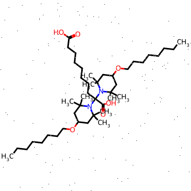 CCCCCCCCOC1CC(C)(C)N(C(CCCCCCCC(=O)O)(C(=O)O)N2C(C)(C)CC(OCCCCCCCC)CC2(C)C)C(C)(C)C1